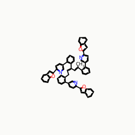 C/C(=C\C(=C/Cc1ccccc1-c1ccc(-c2cc3ccccc3o2)nc1)c1ccccc1-c1ccc(-c2cc3ccccc3o2)nc1)c1ccccc1-c1ccc(-c2cc3ccccc3o2)nc1